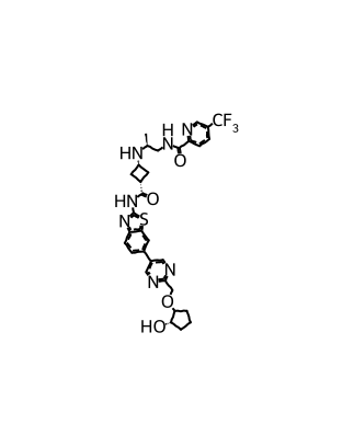 C[C@@H](CNC(=O)c1ccc(C(F)(F)F)cn1)N[C@H]1C[C@@H](C(=O)Nc2nc3ccc(-c4cnc(COC5CCC[C@@H]5O)nc4)cc3s2)C1